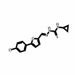 S=C(N/N=C/c1ccc(-c2ccc(Cl)cc2)o1)NC1CC1